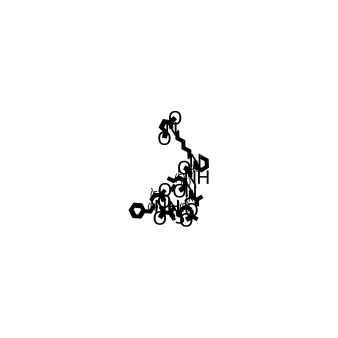 CCOC(=O)[C@@H](C)C[C@H](Cc1ccccc1)NC(=O)c1csc([C@@H](C[C@H](C(C)C)N(C)C(=O)[C@@H](NC(=O)[C@H]2CCCCN2CCCCCCN2C(=O)C=CC2=O)[C@@H](C)CC)OC(C)=O)n1